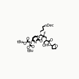 CCCCCCCCCCCCC[C@@H](n1ccc(N(C(=O)OC(C)(C)C)C(=O)OC(C)(C)C)nc1=O)C(F)(F)C[C@H](CO)C(=O)OC1CCOC1